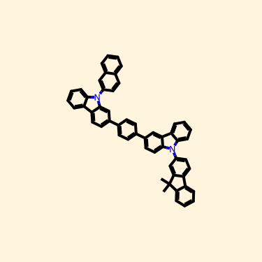 CC1(C)c2ccccc2-c2ccc(-n3c4ccccc4c4cc(-c5ccc(-c6ccc7c8ccccc8n(-c8ccc9ccccc9c8)c7c6)cc5)ccc43)cc21